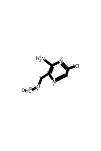 Nc1nc(Cl)cnc1COC=O